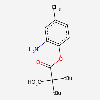 Cc1ccc(OC(=O)C(C(=O)O)(C(C)(C)C)C(C)(C)C)c(N)c1